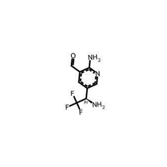 Nc1ncc([C@@H](N)C(F)(F)F)cc1C=O